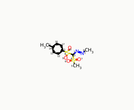 CN=NC(S(C)(=O)=O)S(=O)(=O)c1ccc(C)cc1